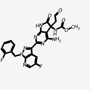 COC(=O)NC1(CC=O)C(=O)Nc2nc(-c3nn(Cc4ccccc4F)c4ncc(F)cc34)nc(N)c21